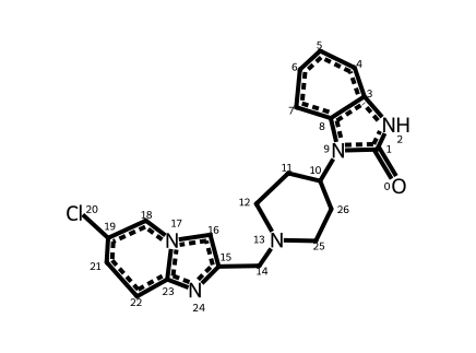 O=c1[nH]c2ccccc2n1C1CCN(Cc2cn3cc(Cl)ccc3n2)CC1